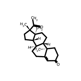 CC(=O)[C@@]1(C)CC[C@H]2[C@@H]3CCC4=CC(=O)CC[C@]4(C)[C@H]3CC[C@@]21C